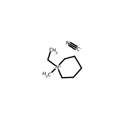 CC[N+]1(C)CCCCC1.[C-]#N